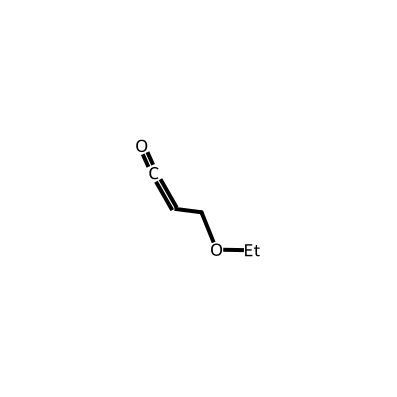 CCOCC=C=O